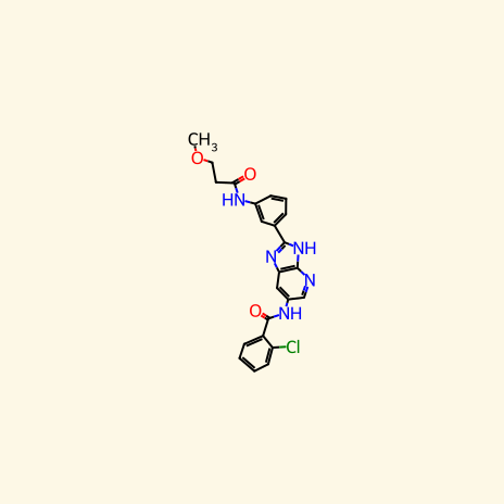 COCCC(=O)Nc1cccc(-c2nc3cc(NC(=O)c4ccccc4Cl)cnc3[nH]2)c1